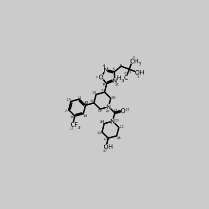 CC(C)(O)Cc1noc(C2CC(c3cccc(C(F)(F)F)c3)CN(C(=O)N3CCC(O)CC3)C2)n1